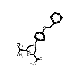 C[C](CN(CCC(C)C)c1ccc(OCc2ccccc2)cc1)C(N)=O